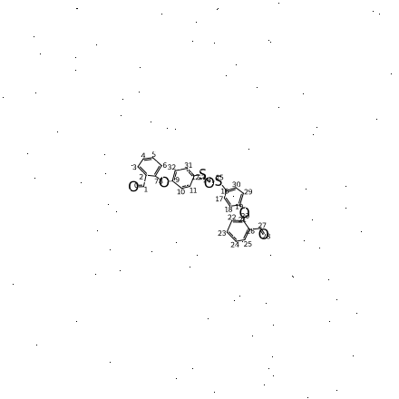 O=Cc1ccccc1Oc1ccc(SOSc2ccc(Oc3ccccc3C=O)cc2)cc1